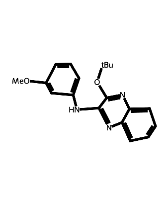 COc1cccc(Nc2nc3ccccc3nc2OC(C)(C)C)c1